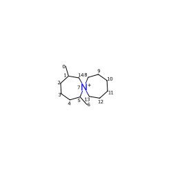 CC1CCCC(C)[N+]2(CCCCCC2)C1